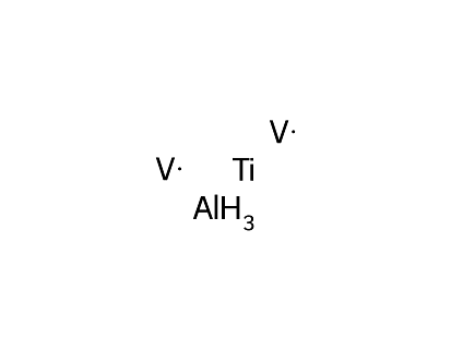 [AlH3].[Ti].[V].[V]